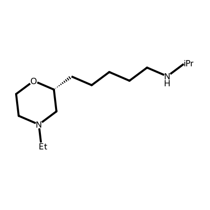 CCN1CCO[C@H](CCCCCNC(C)C)C1